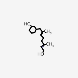 CC(=CCC/C(C)=C/CO)CC1CCCC(O)C1